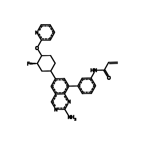 C=CC(=O)Nc1cccc(-c2cc(C3CCC(Oc4ccccn4)[C@H](F)C3)cc3cnc(N)nc23)c1